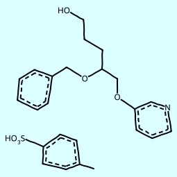 Cc1ccc(S(=O)(=O)O)cc1.OCCCC(COc1cccnc1)OCc1ccccc1